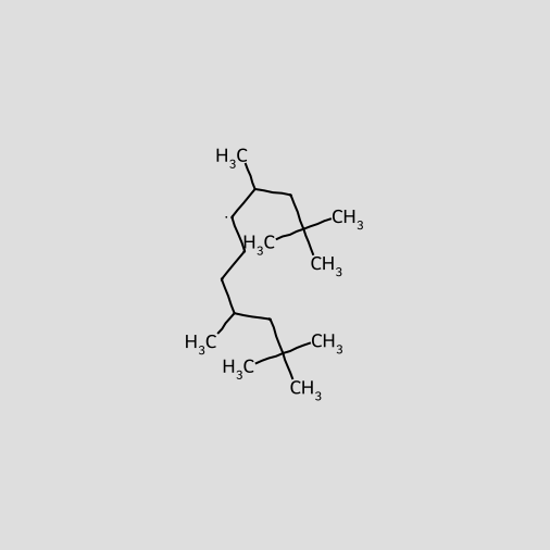 CC([CH]CCC(C)CC(C)(C)C)CC(C)(C)C